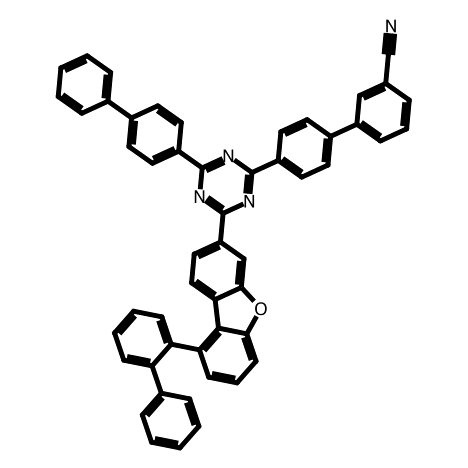 N#Cc1cccc(-c2ccc(-c3nc(-c4ccc(-c5ccccc5)cc4)nc(-c4ccc5c(c4)oc4cccc(-c6ccccc6-c6ccccc6)c45)n3)cc2)c1